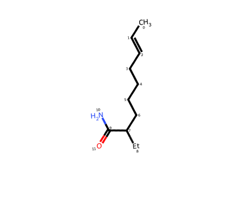 CC=CCCCCC(CC)C(N)=O